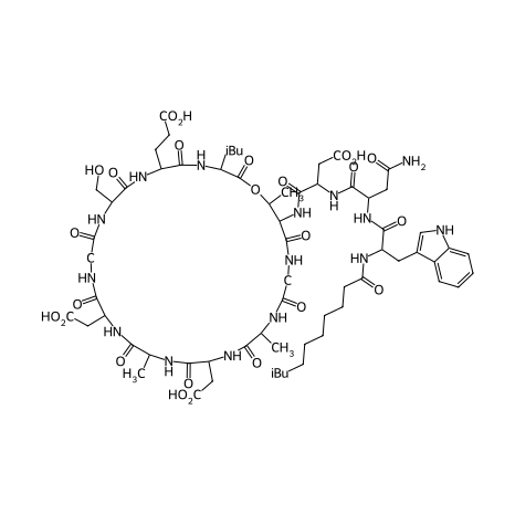 CCC(C)CCCCCCC(=O)NC(Cc1c[nH]c2ccccc12)C(=O)NC(CC(N)=O)C(=O)NC(CC(=O)O)C(=O)NC1C(=O)NCC(=O)NC(C)C(=O)NC(CC(=O)O)C(=O)NC(C)C(=O)NC(CC(=O)O)C(=O)NCC(=O)NC(CO)C(=O)NC(CCC(=O)O)C(=O)NC(C(C)CC)C(=O)OC1C